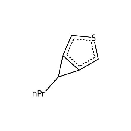 CCCC1c2cscc21